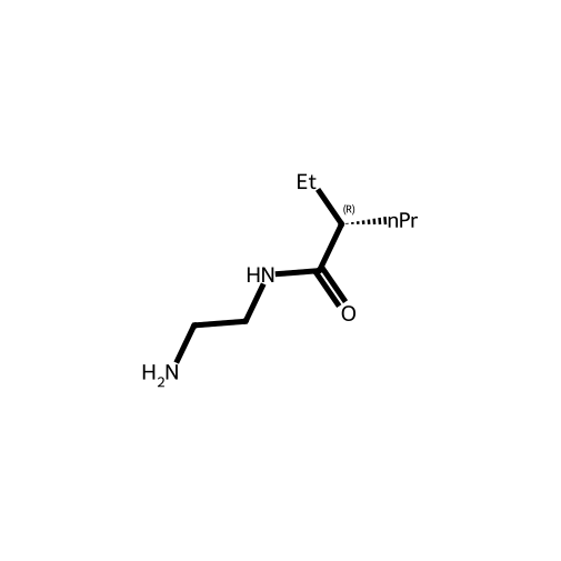 CCC[C@@H](CC)C(=O)NCCN